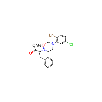 COC(=O)C(Cc1ccccc1)N1CCN(c2cc(Cl)ccc2Br)CO1